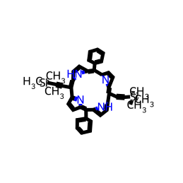 C[Si](C)(C)C#Cc1c2nc(c(-c3ccccc3)c3ccc([nH]3)c(C#C[Si](C)(C)C)c3nc(c(-c4ccccc4)c4ccc1[nH]4)C=C3)C=C2